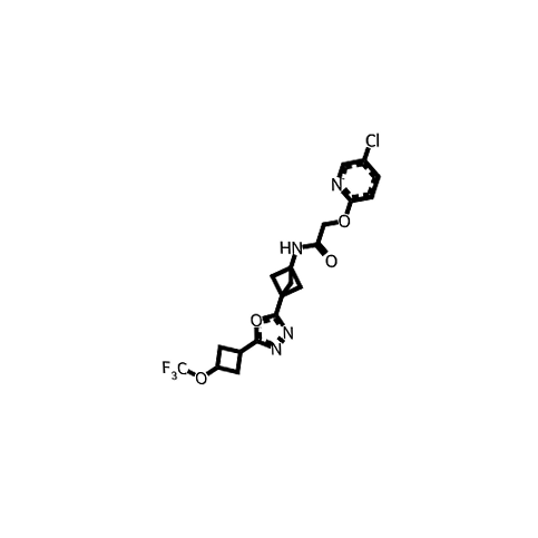 O=C(COc1ccc(Cl)cn1)NC12CC(c3nnc(C4CC(OC(F)(F)F)C4)o3)(C1)C2